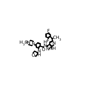 CC(c1cc2c(NC(=O)c3ccc(N4CCN(C)CC4)cc3NC3CCOCC3)n[nH]c2cn1)c1cc(F)ccc1F